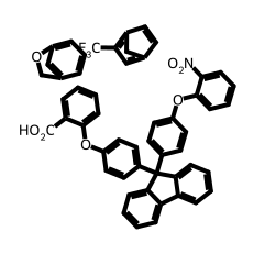 FC(F)(F)C1=C2C=CC(=C1)C2.O=C(O)c1ccccc1Oc1ccc(C2(c3ccc(Oc4ccccc4[N+](=O)[O-])cc3)c3ccccc3-c3ccccc32)cc1.c1cc2cc(c1)OC2